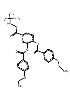 CCOc1ccc(C(=O)Oc2ccc(C(=O)CNC(C)(C)C)cc2OC(=O)c2ccc(OCC)cc2)cc1